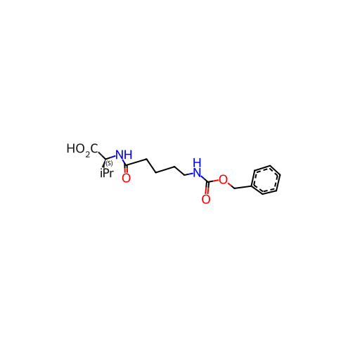 CC(C)[C@H](NC(=O)CCCCNC(=O)OCc1ccccc1)C(=O)O